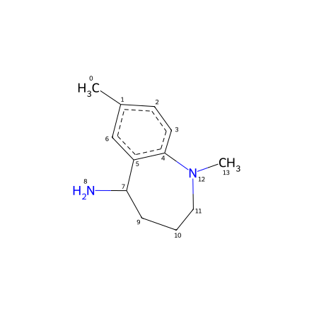 Cc1ccc2c(c1)C(N)CCCN2C